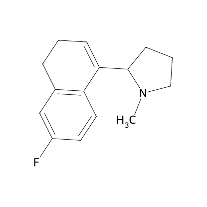 CN1CCCC1C1=CCCc2cc(F)ccc21